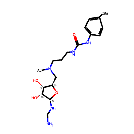 CC(=O)N(CCCNC(=O)Nc1ccc(C(C)(C)C)cc1)C[C@H]1O[C@@H](NCN)[C@H](O)[C@@H]1O